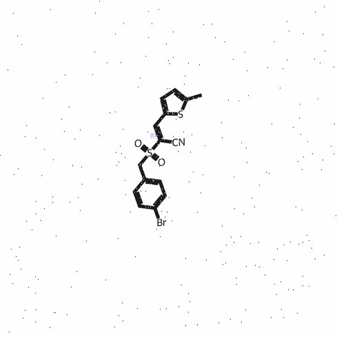 Cc1ccc(/C=C(\C#N)S(=O)(=O)Cc2ccc(Br)cc2)s1